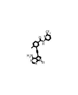 CCn1cc(C#Cc2cc(C(=O)Nc3cccc(C(F)(F)F)n3)ccc2C)c2c(N)ncnc21